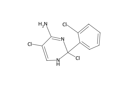 NC1=NC(Cl)(c2ccccc2Cl)NC=C1Cl